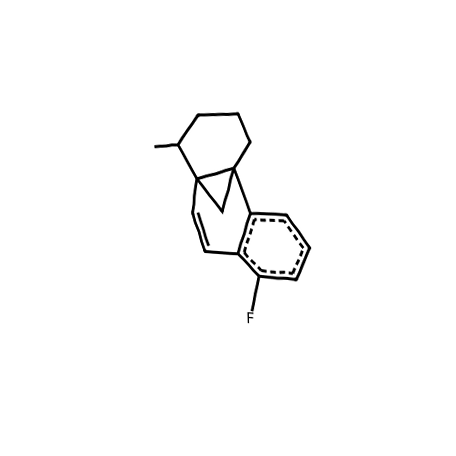 CC1CCCC23CC12C=Cc1c(F)cccc13